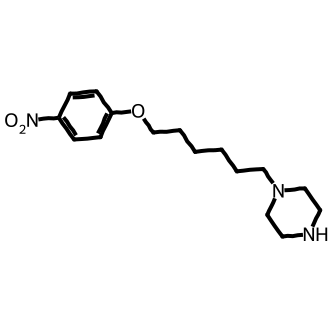 O=[N+]([O-])c1ccc(OCCCCCCN2CCNCC2)cc1